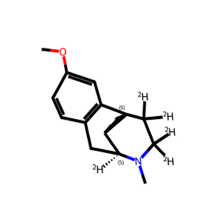 [2H]C1([2H])N(C)[C@@]2([2H])Cc3ccc(OC)cc3[C@@]3(CCCCC23)C1([2H])[2H]